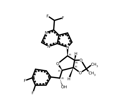 CC1(C)O[C@H]2[C@@H](O1)[C@H](n1ccc3c(C(F)F)ncnc31)O[C@@H]2[C@H](O)c1ccc(F)c(F)c1